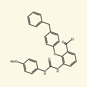 CCC(=O)c1cccc(NC(=O)Nc2ccc(OC)cc2)c1Oc1ccc(Cc2ccccc2)cc1